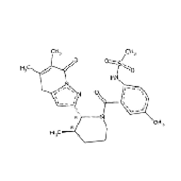 CC1=C(C)C(=O)n2nc([C@H]3[C@H](C)CCCN3C(=O)c3cc(C)ccc3NS(C)(=O)=O)cc2C1